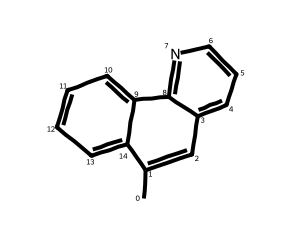 Cc1cc2cccnc2c2ccccc12